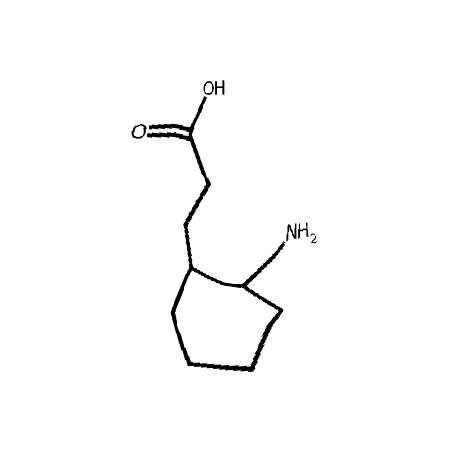 NC1CCCCC1CCC(=O)O